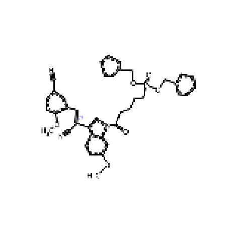 COc1ccc2c(/C(C#N)=C/c3cc(C#N)ccc3OC)cn(C(=O)CCCCP(=O)(OCc3ccccc3)OCc3ccccc3)c2c1